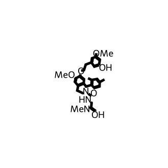 CN/C(=C\O)CNC(=O)N1CCc2cc(OC)c(OCCc3cc(O)cc(OC)c3)cc2C1c1ccc(C)cc1C